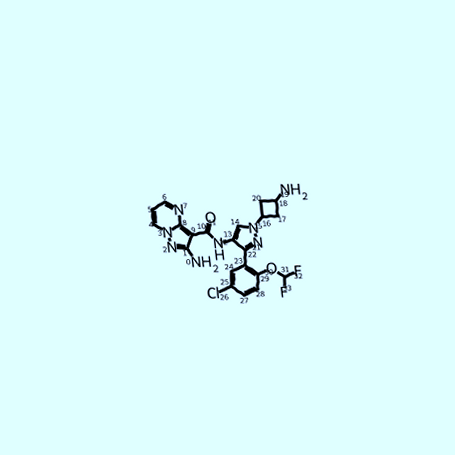 Nc1nn2cccnc2c1C(=O)Nc1cn(C2CC(N)C2)nc1-c1cc(Cl)ccc1OC(F)F